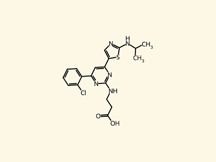 CC(C)Nc1ncc(-c2cc(-c3ccccc3Cl)nc(NCCC(=O)O)n2)s1